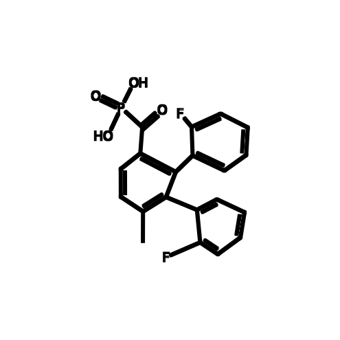 Cc1ccc(C(=O)P(=O)(O)O)c(-c2ccccc2F)c1-c1ccccc1F